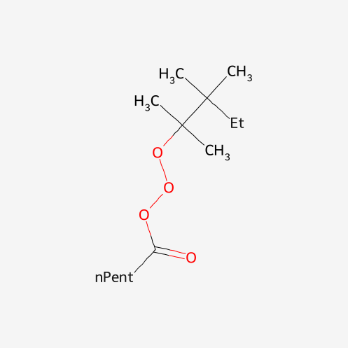 CCCCCC(=O)OOOC(C)(C)C(C)(C)CC